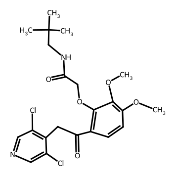 COc1ccc(C(=O)Cc2c(Cl)cncc2Cl)c(OCC(=O)NCC(C)(C)C)c1OC